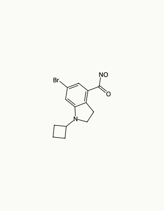 O=NC(=O)c1cc(Br)cc2c1CCN2C1CCC1